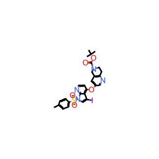 Cc1ccc(S(=O)(=O)n2cc(I)c3c(Oc4cnc5c(c4)CN(C(=O)OC(C)(C)C)CC5)ccnc32)cc1